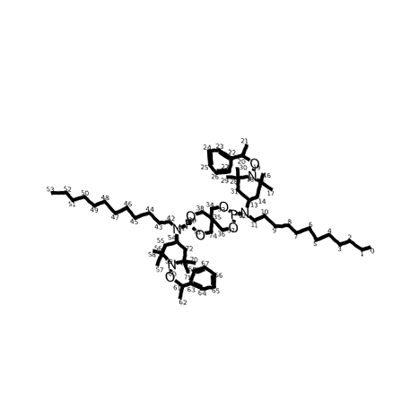 CCCCCCCCCCCCN(C1CC(C)(C)N(OC(C)c2ccccc2)C(C)(C)C1)P1OCC2(CO1)COP(N(CCCCCCCCCCCC)C1CC(C)(C)N(OC(C)c3ccccc3)C(C)(C)C1)OC2